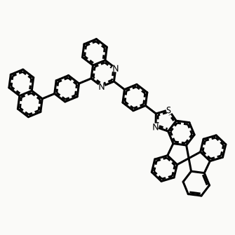 C1=CCC2C(=C1)c1ccccc1C21c2ccccc2-c2c1ccc1sc(-c3ccc(-c4nc(-c5ccc(-c6cccc7ccccc67)cc5)c5ccccc5n4)cc3)nc21